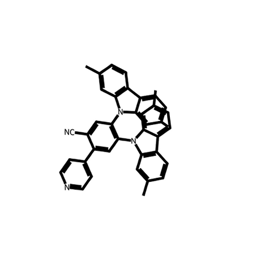 Cc1ccc2c3ccc(C)cc3n(-c3cc(C#N)c(-c4ccncc4)cc3-n3c4cc(C)ccc4c4ccc(C)cc43)c2c1